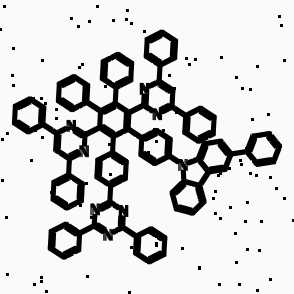 c1ccc(-c2ccc3c(c2)c2ccccc2n3-c2ccc(-c3c(-c4ccc(-c5nc(-c6ccccc6)nc(-c6ccccc6)n5)cc4)c(-c4nc(-c5ccccc5)cc(-c5ccccc5)n4)c(-c4ccccc4)c(-c4ccccc4)c3-c3nc(-c4ccccc4)cc(-c4ccccc4)n3)cc2)cc1